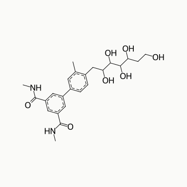 CNC(=O)c1cc(C(=O)NC)cc(-c2ccc(CC(O)C(O)C(O)C(O)CCO)c(C)c2)c1